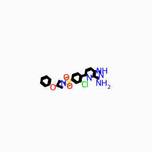 Nc1n[nH]c2ccc(-c3ccc(S(=O)(=O)N4CC(Oc5ccccc5)C4)cc3Cl)nc12